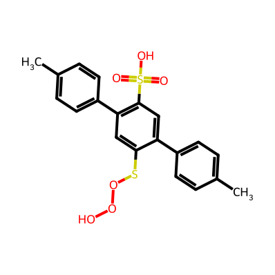 Cc1ccc(-c2cc(S(=O)(=O)O)c(-c3ccc(C)cc3)cc2SOOO)cc1